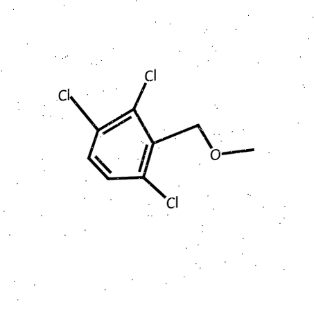 COCc1c(Cl)ccc(Cl)c1Cl